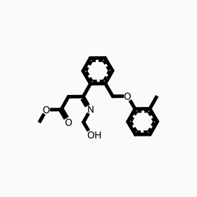 COC(=O)CC(=NCO)c1ccccc1COc1ccccc1C